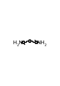 Cc1cc(N)ccc1C=Cc1ccc(C=Cc2ccc(N)cc2C)cc1